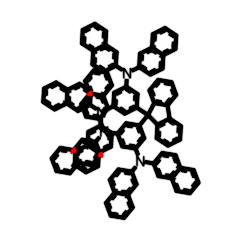 c1ccc2c(c1)-c1ccccc1C2(c1cc(N(c2ccc3ccccc3c2)c2ccc3ccccc3c2)cc(N(c2ccc3ccccc3c2)c2ccc3ccccc3c2)c1)c1cc(N(c2ccc3ccccc3c2)c2ccc3ccccc3c2)cc(N(c2ccc3ccccc3c2)c2ccc3ccccc3c2)c1